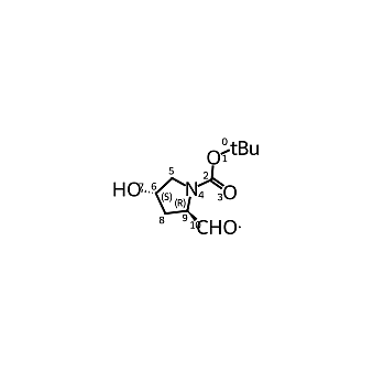 CC(C)(C)OC(=O)N1C[C@@H](O)C[C@@H]1[C]=O